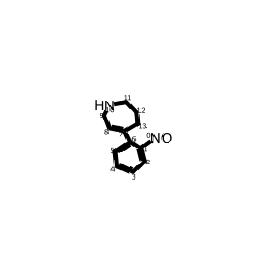 O=Nc1ccccc1C1=CCNCCC1